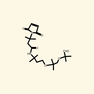 CC(C)(CCOC(C)(C)COC(C)(C)C=O)NC(=O)CC(C)(C)N1C(=O)C=CC1=O